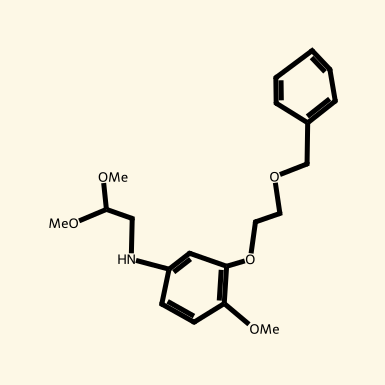 COc1ccc(NCC(OC)OC)cc1OCCOCc1ccccc1